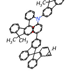 CC1(C)c2ccccc2-c2ccc(N(c3ccc(-c4ccc5c(c4)-c4ccccc4C54C5=C(C6=C[C@@H]6C=C5)c5ccccc54)cc3)c3ccccc3-c3cccc4c3-c3ccccc3C4(C)C)cc21